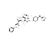 COC(COC1CCC(C(=O)c2nnc[nH]2)CC1)c1nc2c(-c3cnn(-c4ccccc4)c3)cnn2c(N)c1S(C)(=O)=O